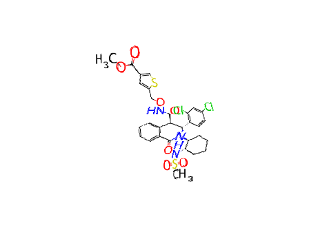 COC(=O)c1csc(CONC(=O)[C@@H]2c3ccccc3C(=O)N([C@H]3CCCC[C@@H]3NS(C)(=O)=O)[C@H]2c2ccc(Cl)cc2Cl)c1